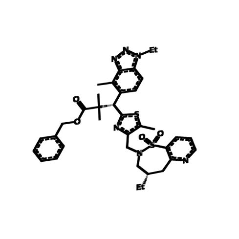 CC[C@H]1Cc2ncccc2S(=O)(=O)N(Cc2nc([C@@H](c3ccc4c(nnn4CC)c3C)C(C)(C)C(=O)OCc3ccccc3)sc2C)C1